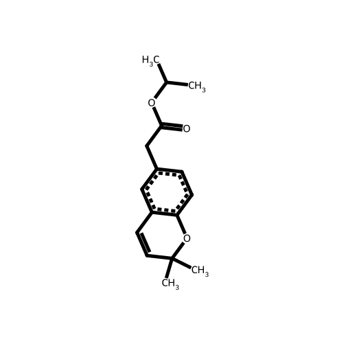 CC(C)OC(=O)Cc1ccc2c(c1)C=CC(C)(C)O2